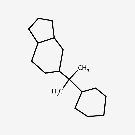 CC(C)(C1CCCCC1)C1CCC2CCCC2C1